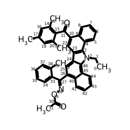 CCn1c2c3ccccc3c(C(=O)c3c(C)cc(C)cc3C)cc2c2cc(/C(=N/OC(C)=O)c3ccccc3C)c3ccccc3c21